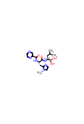 CC(C)C[C@H](NC(=O)[C@H](Cc1nccn1C)NC(=O)c1cnccn1)B(O)O